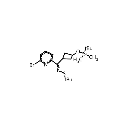 CC(C)(C)S/N=C(/c1cccc(Br)n1)C1CC(O[Si](C)(C)C(C)(C)C)C1